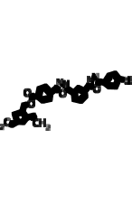 C=CC1CC(C=C)C(COC(=O)c2ccc(-c3nnc(-c4cccc(-c5nnc(-c6ccc(C(C)(C)C)cc6)o5)c4)o3)cc2)C1